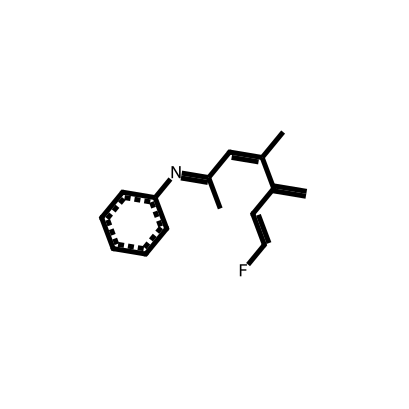 C=C(/C=C/F)/C(C)=C\C(C)=N\c1ccccc1